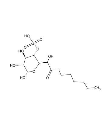 CCCCCCCC(=O)C(O)[C@H]1O[C@H](O)[C@H](O)[C@@H](O)[C@@H]1OS(=O)(=O)O